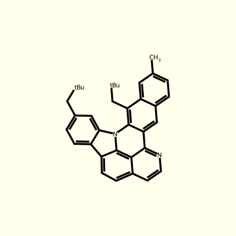 Cc1ccc2cc3c4nccc5ccc6c7ccc(CC(C)(C)C)cc7n(c3c(CC(C)(C)C)c2c1)c6c54